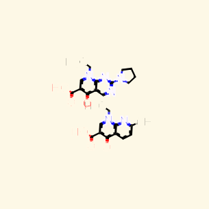 CCn1cc(C(=O)O)c(=O)c2ccc(C)nc21.CCn1cc(C(=O)O)c(=O)c2cnc(N3CCCC3)nc21